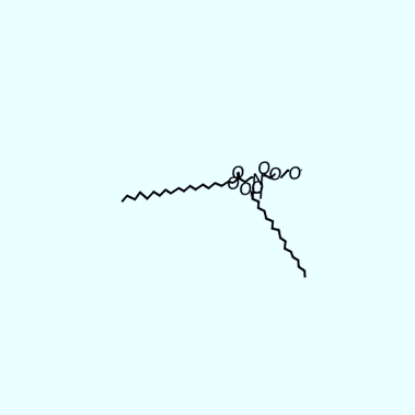 CCCCCCCCCCCCCCCCCCOC(=O)C(CNC(=O)COCCOC)OC(=O)CCCCCCCCCCCCCCCCC